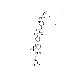 CCNc1nc(-c2ccc(NC(=O)NCc3ccc(NC(=O)OC(C)(C)C)nc3)cc2)ccc1C(=O)NCCN1CC(C)OC(C)C1